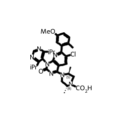 COc1ccc(C)c(-c2nc3c(cc2Cl)c(N2C[C@@H](C)N(C(=O)O)C[C@@H]2C)nc(=O)n3-c2c(C(C)C)ncnc2C(C)C)c1